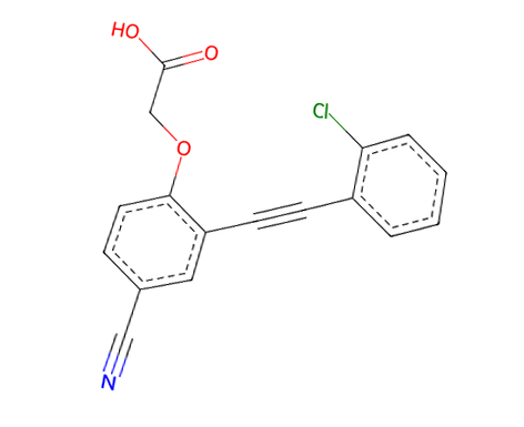 N#Cc1ccc(OCC(=O)O)c(C#Cc2ccccc2Cl)c1